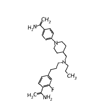 C=C(N)c1ccc(N2CCC(CN(CCC)CCCc3ccc(C(=C)N)c(F)c3)CC2)cc1